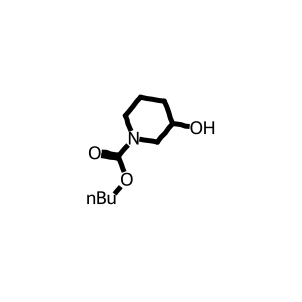 CCCCOC(=O)N1CCCC(O)C1